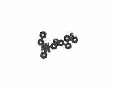 c1ccc(-c2cccc(-c3nc(-c4ccccc4)nc(-c4ccc5c(c4)oc4ccc(-c6ccccc6-c6cccc7sc8ccccc8c67)cc45)n3)c2)cc1